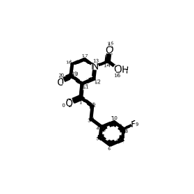 O=C(CCc1cccc(F)c1)C1CN(C(=O)O)CCC1=O